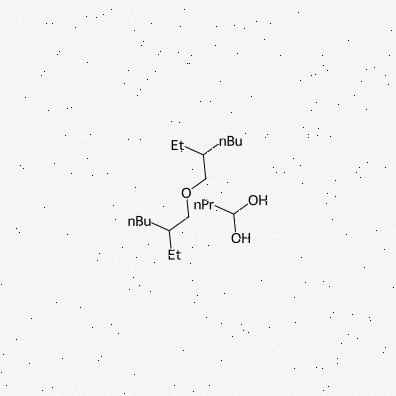 CCCC(O)O.CCCCC(CC)COCC(CC)CCCC